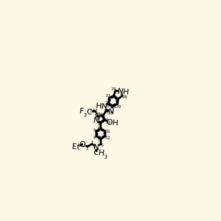 CCOCCN(C)Cc1ccc(-c2nn(CC(F)(F)F)c(-c3nc4cc5c(cc4[nH]3)CNC5)c2O)cc1